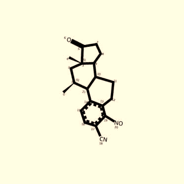 C[C@H]1C[C@]2(C)C(=O)CCC2C2CCc3c(ccc(C#N)c3N=O)C21